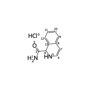 Cl.NC(=O)C1NC=Cc2c[c]ccc21